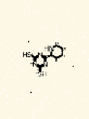 Sc1nc(S)nc(C2CCCCN2)n1